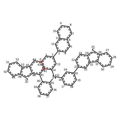 c1cc(-c2ccc3ccccc3c2)cc(N(c2cccc(-c3ccc4sc5ccccc5c4c3)c2)c2ccccc2-c2cccc3c2sc2ccccc23)c1